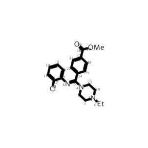 CCN1CCN(C(=Nc2ccccc2Cl)c2ccc(C(=O)OC)cc2)CC1